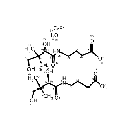 CC(C)(CO)[C@@H](O)C(=O)NCCCC(=O)[O-].CC(C)(CO)[C@@H](O)C(=O)NCCCC(=O)[O-].O.[Ca+2]